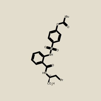 CC(C)C[C@H](NC(=O)c1ccccc1NS(=O)(=O)c1ccc(OC(=O)C(C)(C)C)cc1)C(=O)O